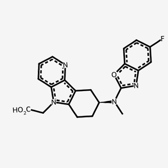 CN(c1nc2cc(F)ccc2o1)[C@H]1CCc2c(c3ncccc3n2CC(=O)O)C1